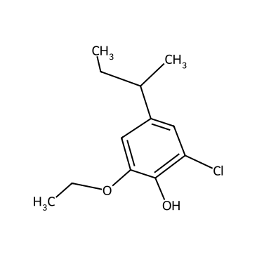 CCOc1cc(C(C)CC)cc(Cl)c1O